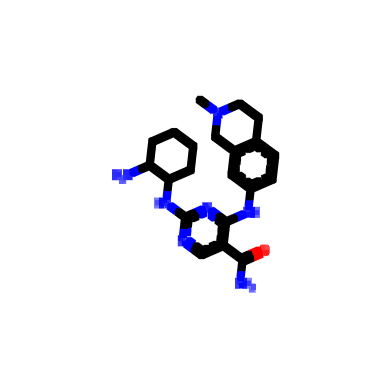 CN1CCc2ccc(Nc3nc(NC4CCCCC4N)ncc3C(N)=O)cc2C1